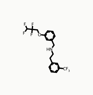 FC(F)C(F)(F)COc1cccc(CNCCc2cccc(C(F)(F)F)c2)c1